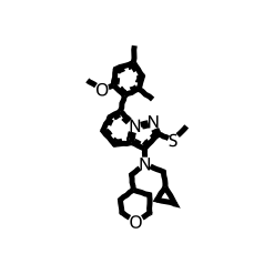 COc1cc(C)cc(C)c1-c1cccc2c(N(CC3CCOCC3)CC3CC3)c(SC)nn12